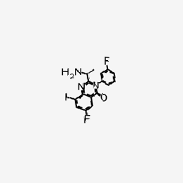 C[C@H](N)c1nc2c(I)cc(F)cc2c(=O)n1-c1cccc(F)c1